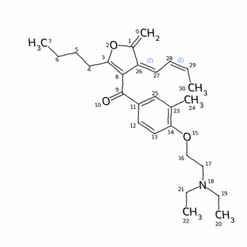 C=c1oc(CCCC)c(C(=O)c2ccc(OCCN(CC)CC)c(C)c2)/c1=C/C=C\C